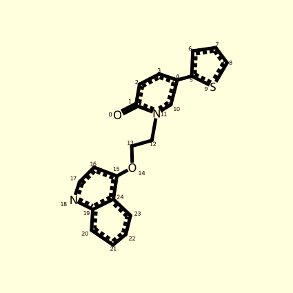 O=c1ccc(-c2cccs2)cn1CCOc1ccnc2ccccc12